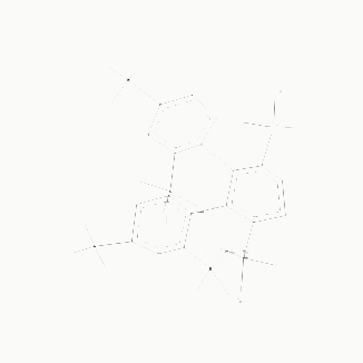 CCC(C)(C)c1ccc(-c2c(C(C)(C)CC)ccc([PH](O)(O)O)c2-c2ccc(C(C)(C)CC)cc2C(C)(C)CC)c(C(C)(C)CC)c1